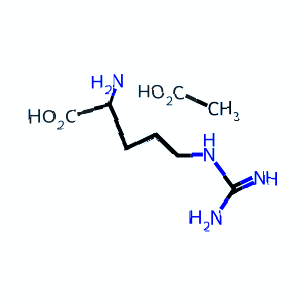 CC(=O)O.N=C(N)NCCCC(N)C(=O)O